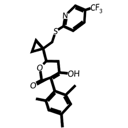 Cc1cc(C)c(C2=C(O)CC(C3(CSc4ccc(C(F)(F)F)cn4)CC3)OC2=O)c(C)c1